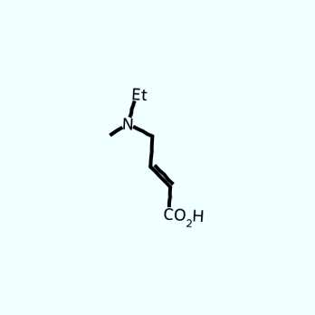 CCN(C)CC=CC(=O)O